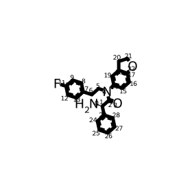 N[C@H](C(=O)N(CCc1ccc(F)cc1)c1ccc2c(c1)CCO2)c1ccccc1